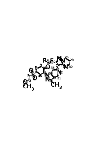 COCCS(=O)(=O)c1ccc(OC(F)F)c(-n2nc(C)c3cnc(-c4cnn5cccnc45)cc32)c1